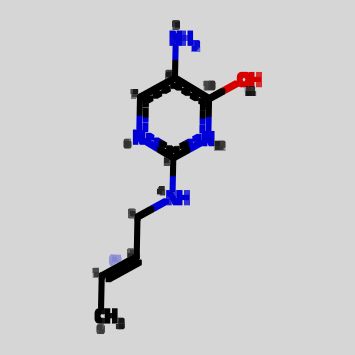 C/C=C/CNc1ncc(N)c(O)n1